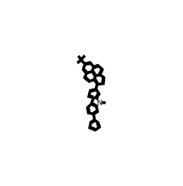 Cn1c2cc(-c3ccccc3)ccc2c2ccc(-c3ccc4ccc5cc(C(C)(C)C)cc6ccc3c4c56)cc21